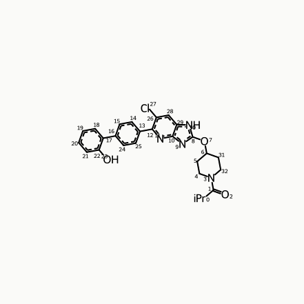 CC(C)C(=O)N1CCC(Oc2nc3nc(-c4ccc(-c5ccccc5O)cc4)c(Cl)cc3[nH]2)CC1